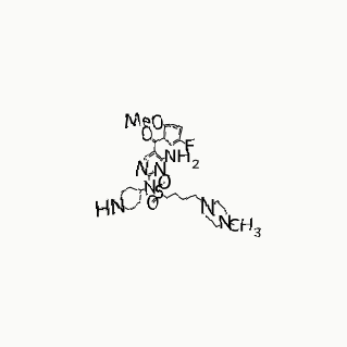 COc1ccc(F)cc1C(=O)c1cnc(N(C2CCNCC2)S(=O)(=O)CCCCN2CCN(C)CC2)nc1N